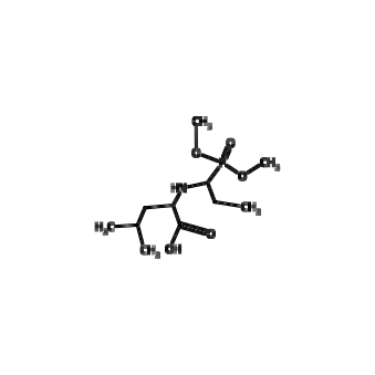 CCC(NC(CC(C)C)C(=O)O)P(=O)(OC)OC